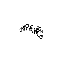 CCc1nn(C[C@@H](C)COC(=O)c2cccc(S(=O)(=O)N3CCCC3)c2)c2c1C(=O)NCCCOCCC2